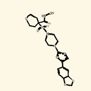 O=C(NO)C1(S(=O)(=O)N2CCN(c3ncc(C4=CC5OCOC5C=C4)s3)CC2)CCOCC1